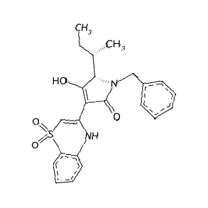 CC[C@H](C)[C@H]1C(O)=C(C2=CS(=O)(=O)c3ccccc3N2)C(=O)N1Cc1ccccc1